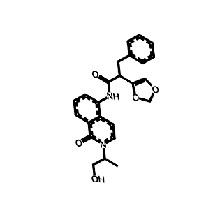 CC(CO)n1ccc2c(NC(=O)C(Cc3ccccc3)C3=COCO3)cccc2c1=O